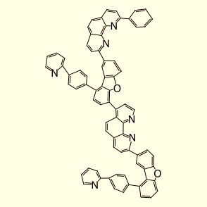 c1ccc(-c2ccc3ccc4ccc(-c5ccc6oc7c(-c8ccnc9c8ccc8ccc(-c%10ccc%11oc%12cccc(-c%13ccc(-c%14ccccn%14)cc%13)c%12c%11c%10)nc89)ccc(-c8ccc(-c9ccccn9)cc8)c7c6c5)nc4c3n2)cc1